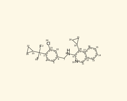 FC(F)(c1ccc(CNc2ncc3ccccc3c2C2CC2)cc1Cl)C1CC1